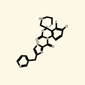 O=C1O[C@]2(CCCNC2)c2c(ccc(Cl)c2F)N1C(=O)c1nc(Cc2cccnc2)c[nH]1